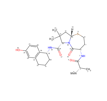 CN[C@@H](C)C(=O)N[C@H]1CCS[C@H]2CC(C)(C)[C@@H](C(=O)N[C@@H]3CCCc4cc(O)ccc43)N2C1=O